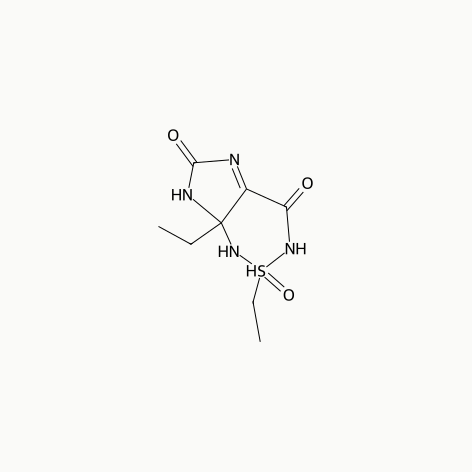 CCC12NC(=O)N=C1C(=O)N[SH](=O)(CC)N2